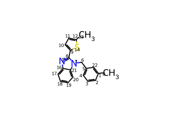 Cc1cccc(Cn2c(-c3ccc(C)s3)nc3ccccc32)c1